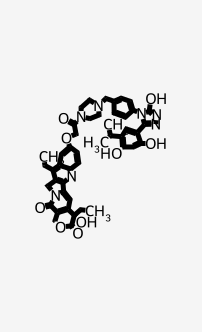 CCc1c2c(nc3ccc(OCC(=O)N4CCN(Cc5ccc(-n6c(O)nnc6-c6cc(C(C)C)c(O)cc6O)cc5)CC4)cc13)-c1cc3c(c(=O)n1C2)COC(=O)C3(O)CC